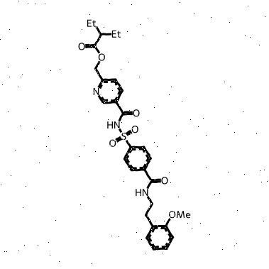 CCC(CC)C(=O)OCc1ccc(C(=O)NS(=O)(=O)c2ccc(C(=O)NCCc3ccccc3OC)cc2)cn1